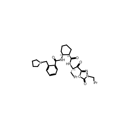 CC(C)C[C@H](NC(=O)[C@@H]1CCCC[C@@H]1NC(=O)c1ccccc1CN1CCCC1)C(=O)c1nn(CC(C)C)c(=O)o1